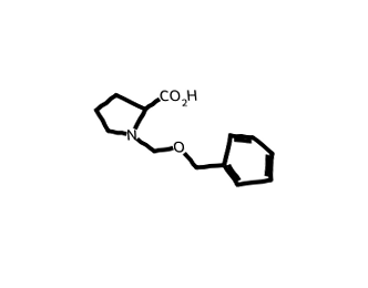 O=C(O)C1CCCN1COCc1ccccc1